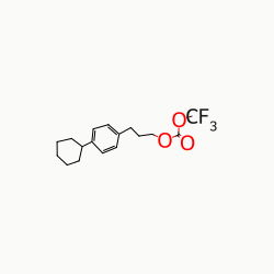 O=C(OCCCc1ccc(C2CCCCC2)cc1)OC(F)(F)F